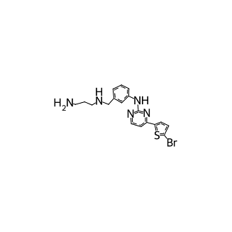 NCCCNCc1cccc(Nc2nccc(-c3ccc(Br)s3)n2)c1